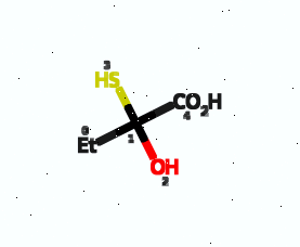 CCC(O)(S)C(=O)O